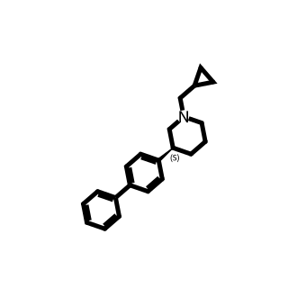 c1ccc(-c2ccc([C@@H]3CCCN(CC4CC4)C3)cc2)cc1